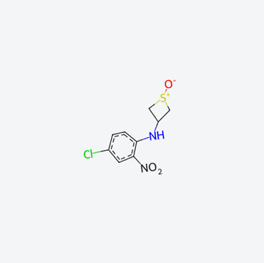 O=[N+]([O-])c1cc(Cl)ccc1NC1C[S+]([O-])C1